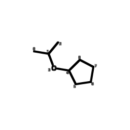 C[C](C)OC1CCCC1